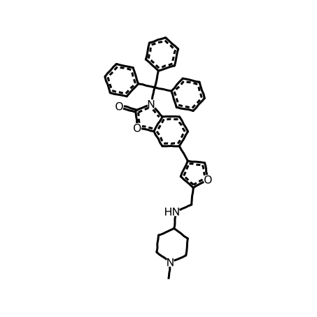 CN1CCC(NCc2cc(-c3ccc4c(c3)oc(=O)n4C(c3ccccc3)(c3ccccc3)c3ccccc3)co2)CC1